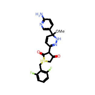 COC1(c2ccc(N)nc2)C=CC(C2C(=O)C[SH](Cc3c(F)cccc3F)C2=O)=NN1